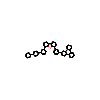 c1ccc(-c2ccc(-c3cccc(-c4cccc5c4oc4c(-c6cccc(-c7ccc8c9ccccc9c9ccccc9c8c7)c6)cccc45)c3)cc2)cc1